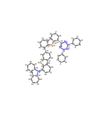 c1ccc(-c2nc(-c3ccccc3)nc(-c3cccc4c3sc3c(-c5ccc6c(c5)sc5c(-n7c8ccccc8c8ccccc87)cccc56)cccc34)n2)cc1